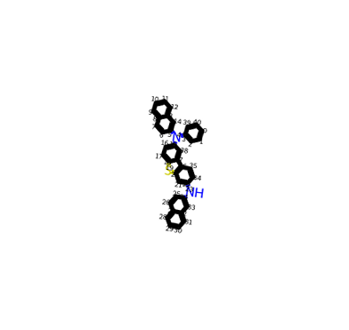 c1ccc(N(c2ccc3ccccc3c2)c2ccc3sc4cc(Nc5ccc6ccccc6c5)ccc4c3c2)cc1